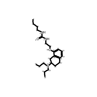 CCCCNC(=O)NCCOc1cccc2c1CC(N(CCC)CCC)CC2